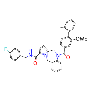 COc1cc(C(=O)N2Cc3ccc(C(=O)NCc4ccc(F)cc4)n3Cc3ccccc32)ccc1-c1ccccc1C